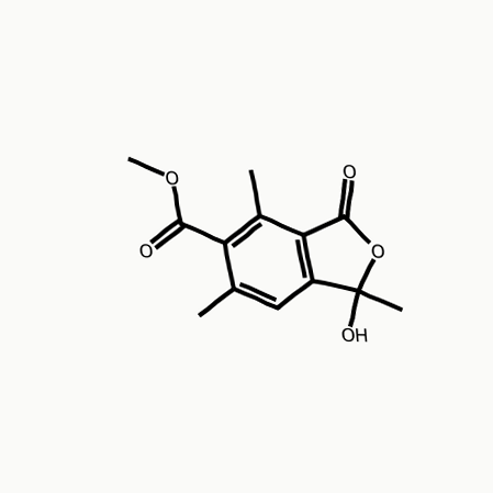 COC(=O)c1c(C)cc2c(c1C)C(=O)OC2(C)O